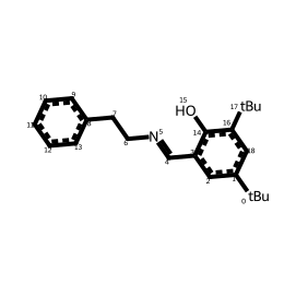 CC(C)(C)c1cc(C=NCCc2ccccc2)c(O)c(C(C)(C)C)c1